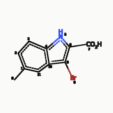 Cc1ccc2[nH]c(C(=O)O)c(Br)c2c1